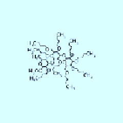 CCCCOCC1OC(OC2C(OCCCC)C(COCCCC)OC(OC3C(OCCCC)C(C)OC(OC)C3OCCCC)C2OCCCC)C(OCCCC)C(OCCCC)C1OCCCC